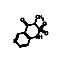 CC1C(=O)c2cnccc2NS1(=O)=O